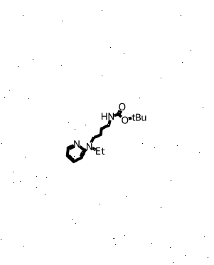 CCN(CCCCNC(=O)OC(C)(C)C)c1ccccn1